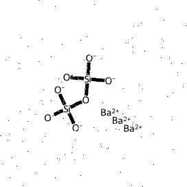 [Ba+2].[Ba+2].[Ba+2].[O-][Si]([O-])([O-])O[Si]([O-])([O-])[O-]